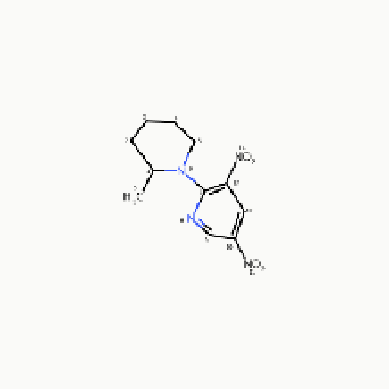 CC1CCCCN1c1ncc([N+](=O)[O-])cc1[N+](=O)[O-]